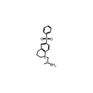 BN(C)C[C@H]1CCCc2cc(S(=O)(=O)c3ccccc3)ccc21